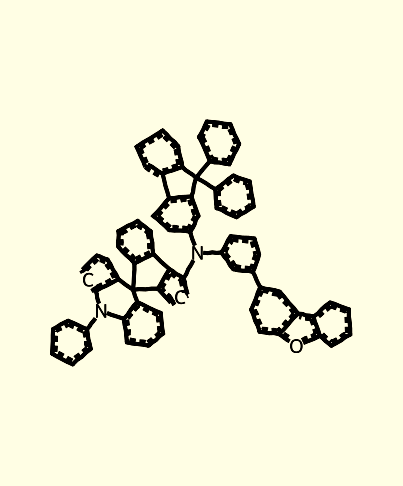 c1ccc(N2c3ccccc3C3(c4ccccc4-c4c(N(c5cccc(-c6ccc7oc8ccccc8c7c6)c5)c5ccc6c(c5)C(c5ccccc5)(c5ccccc5)c5ccccc5-6)cccc43)c3ccccc32)cc1